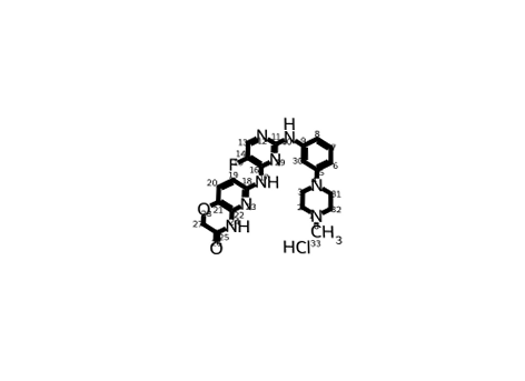 CN1CCN(c2cccc(Nc3ncc(F)c(Nc4ccc5c(n4)NC(=O)CO5)n3)c2)CC1.Cl